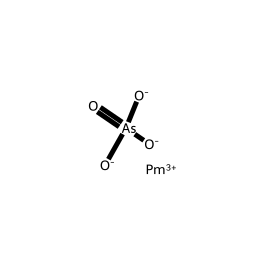 O=[As]([O-])([O-])[O-].[Pm+3]